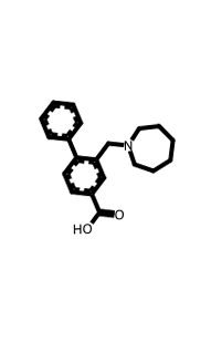 O=C(O)c1ccc(-c2ccccc2)c(CN2CCCCCC2)c1